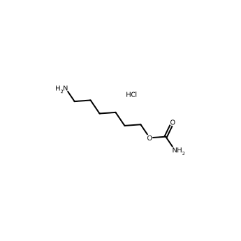 Cl.NCCCCCCOC(N)=O